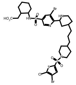 O=C(O)CC1CCCCC1NS(=O)(=O)c1cnc(C2CC(CCCC3CCN(S(=O)(=O)c4cc(Br)c(Cl)s4)CC3)CCN2)c(Br)c1